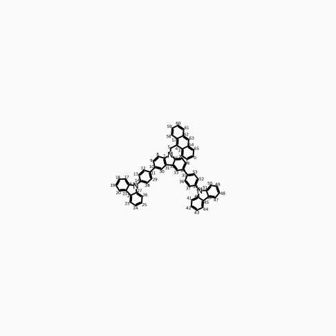 c1ccc2c(Cn3c4ccc(-c5ccc(-n6c7ccccc7c7ccccc76)cc5)cc4c4cc(-c5ccc(-n6c7ccccc7c7ccccc76)cc5)ccc43)c3ccccc3cc2c1